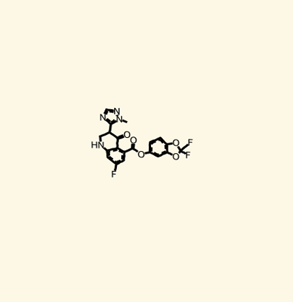 Cn1ncnc1C1CNc2cc(F)cc(C(=O)Oc3ccc4c(c3)OC(F)(F)O4)c2C1=O